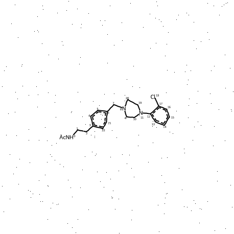 CC(=O)NCCc1ccc(CN2CCN(c3ccccc3Cl)CC2)cc1